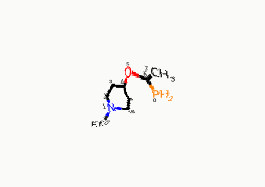 CCN1CCC(OC(C)P)CC1